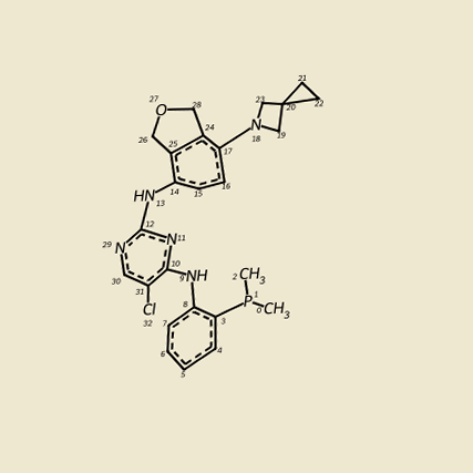 CP(C)c1ccccc1Nc1nc(Nc2ccc(N3CC4(CC4)C3)c3c2COC3)ncc1Cl